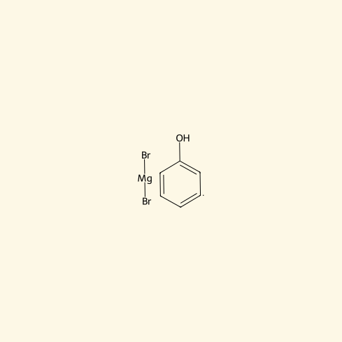 Oc1c[c]ccc1.[Br][Mg][Br]